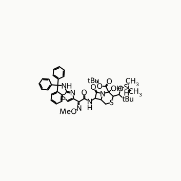 CON=C(C(=O)NC1C(=O)N2C1CSC(C(O[SiH](C)C)C(C)(C)C)C2(O)C(=O)OC(C)(C)C)c1csc(NC(c2ccccc2)(c2ccccc2)c2ccccc2)n1